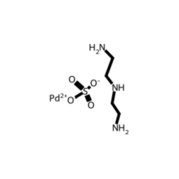 NCCNCCN.O=S(=O)([O-])[O-].[Pd+2]